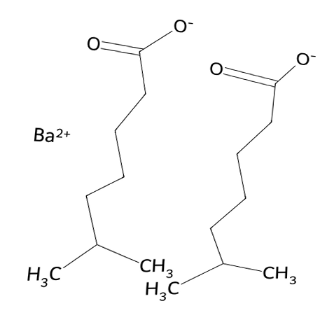 CC(C)CCCCC(=O)[O-].CC(C)CCCCC(=O)[O-].[Ba+2]